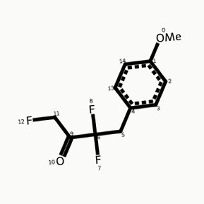 COc1ccc(CC(F)(F)C(=O)CF)cc1